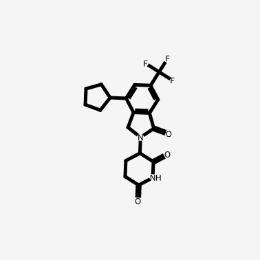 O=C1CCC(N2Cc3c(cc(C(F)(F)F)cc3C3CCCC3)C2=O)C(=O)N1